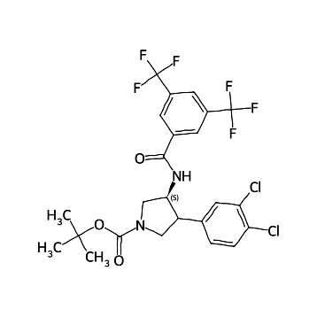 CC(C)(C)OC(=O)N1CC(c2ccc(Cl)c(Cl)c2)[C@H](NC(=O)c2cc(C(F)(F)F)cc(C(F)(F)F)c2)C1